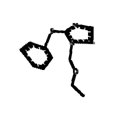 CCOCn1[c]cnc1Sc1ccccc1